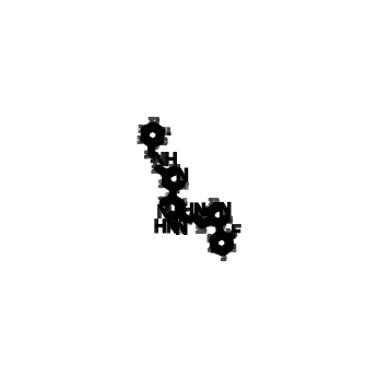 Fc1ccccc1-c1cncc2[nH]c(-c3n[nH]c4ncc(-c5cncc(CNCc6ccccc6)c5)cc34)cc12